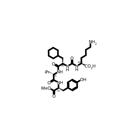 COC(=O)[C@H](Cc1ccc(O)cc1)NC(=O)[C@@H](NC(=O)[C@@H](CC1CCCCC1)NC(=O)N[C@@H](CCCCN)C(=O)O)C(C)C